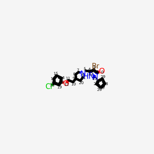 O=c1c(Br)c(CN2CCC(CCOc3cccc(Cl)c3)CC2)[nH]n1-c1ccccc1